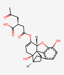 CC(=O)C[C@@H](CC(=O)OC1=CC[C@@]2(O)[C@@H]3CCC[C@@]24c2c(ccc(O)c2O[C@@H]14)C3)C(=O)O